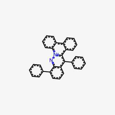 c1ccc(-c2cccc3c(-c4ccccc4)c4c5ccccc5c5ccccc5[n+]4nc23)cc1